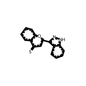 S=c1cc(-c2n[nH]c3ccccc23)oc2ccccc12